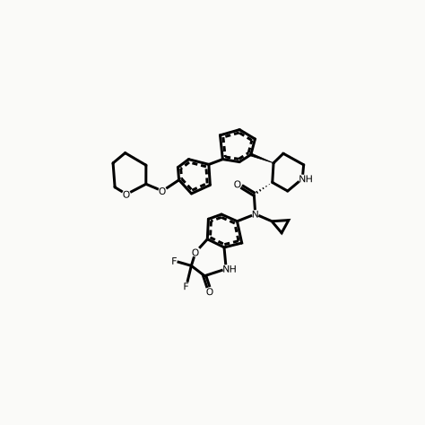 O=C([C@H]1CNCC[C@@H]1c1cccc(-c2ccc(OC3CCCCO3)cc2)c1)N(c1ccc2c(c1)NC(=O)C(F)(F)O2)C1CC1